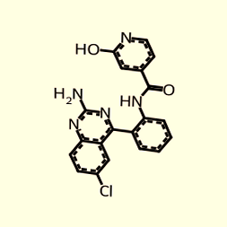 Nc1nc(-c2ccccc2NC(=O)c2ccnc(O)c2)c2cc(Cl)ccc2n1